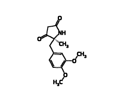 COc1ccc(C[C@]2(C)NC(=O)CC2=O)cc1OC